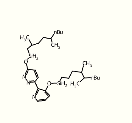 CCCCC(C)CCC(C)C[SiH2]Oc1ccc(-c2ncccc2O[SiH2]CCCC(C)C(C)CCCC)nn1